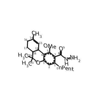 CCCCCc1cc2c(c(OC)c1C(=O)NN)C1C=C(C)CCC1C(C)(C)O2